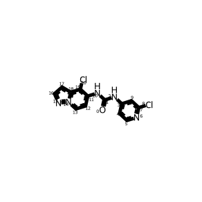 O=C(Nc1ccnc(Cl)c1)Nc1ccn2nccc2c1Cl